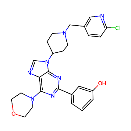 Oc1cccc(-c2nc(N3CCOCC3)c3ncn(C4CCN(Cc5ccc(Cl)nc5)CC4)c3n2)c1